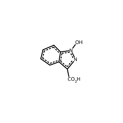 O=C(O)c1nn(O)c2ccccc12